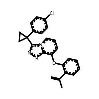 C=C(C)c1ccccc1Oc1cccn2c(C3(c4ccc(Cl)cc4)CC3)nnc12